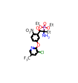 CCOP(=O)(OCC)C(N)(CC)C(=O)c1cc(Oc2ncc(C(F)(F)F)cc2Cl)ccc1[N+](=O)[O-]